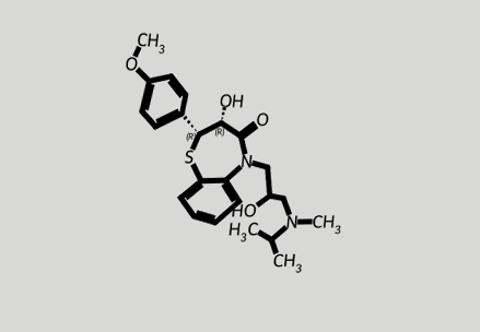 COc1ccc([C@H]2Sc3ccccc3N(CC(O)CN(C)C(C)C)C(=O)[C@H]2O)cc1